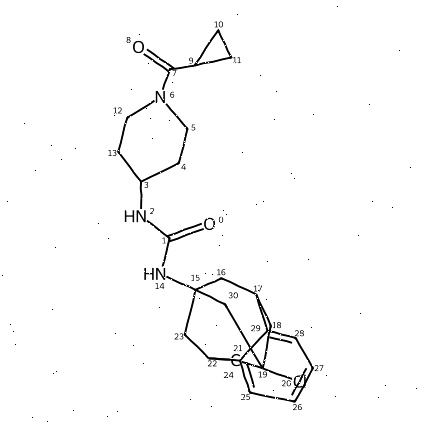 O=C(NC1CCN(C(=O)C2CC2)CC1)NC12CC3CC(Cl)(CC(C1)c1ccccc13)C2